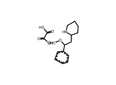 O=C(O)C(=O)O.O=COC(CC1CCCCN1)c1ccccc1